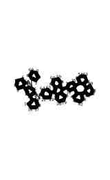 c1ccc(-n2c3ccccc3c3cc4c5ccccc5n(-c5ccc(-c6c7ccccc7c(-c7ccc8c(c7)-c7ccccc7-c7ccccc7-c7ccccc7-8)c7ccccc67)cc5)c4cc32)cc1